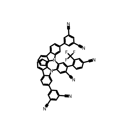 N#Cc1cc(C#N)cc(-c2ccc3c4ccccc4n(-c4cc(C#N)c(-c5ccc(C#N)cc5C(F)(F)F)cc4-n4c5ccccc5c5ccc(-c6cc(C#N)cc(C#N)c6)cc54)c3c2)c1